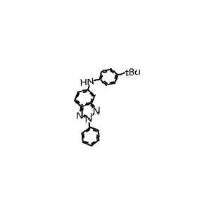 CC(C)(C)c1ccc(Nc2ccc3nn(-c4ccccc4)nc3c2)cc1